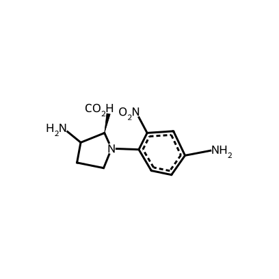 Nc1ccc(N2CCC(N)[C@H]2C(=O)O)c([N+](=O)[O-])c1